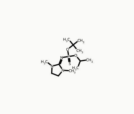 CC(C)OP(=S)(N=C1N(C)CCN1C)OC(C)(C)C